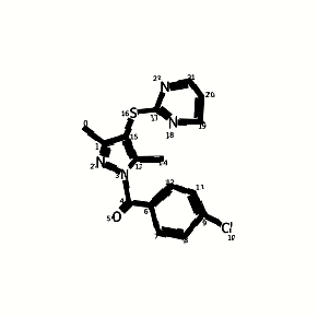 Cc1nn(C(=O)c2ccc(Cl)cc2)c(C)c1Sc1ncccn1